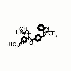 O=C(N[C@@H]1CN(C(=O)O)C[C@@H]1C(=O)NO)c1ccc(Cn2c(C(F)(F)F)nc3ccccc32)cc1